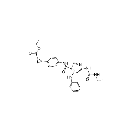 CCNC(=O)Nc1cc(Nc2ccccc2)c(C(=O)Nc2ccc(C3C[C@H]3C(=O)OCC)cc2)cn1